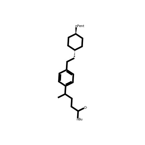 CCCCC[C@H]1CC[C@H](CCc2ccc(C(C)CCC([O])CCCC)cc2)CC1